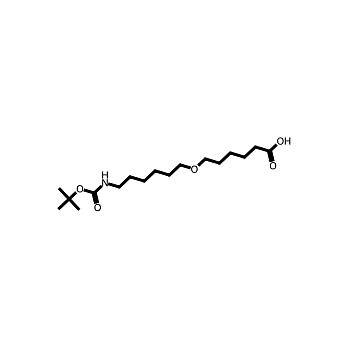 CC(C)(C)OC(=O)NCCCCCCOCCCCCC(=O)O